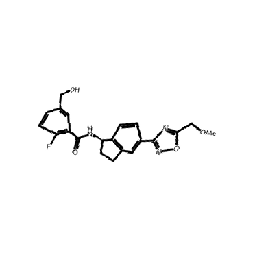 COCc1nc(-c2ccc3c(c2)CC[C@H]3NC(=O)c2cc(CO)ccc2F)no1